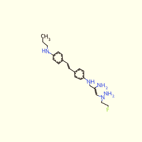 CCCNc1ccc(/C=C/c2ccc(NC/C(N)=C/N(N)CCF)cc2)cc1